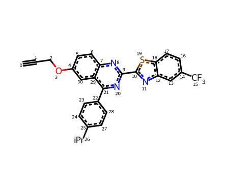 C#CCOc1ccc2nc(-c3nc4cc(C(F)(F)F)ccc4s3)nc(-c3ccc(C(C)C)cc3)c2c1